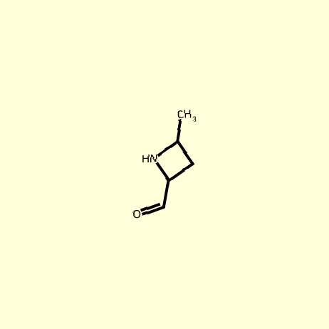 CC1CC(C=O)N1